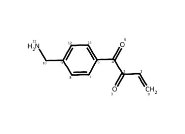 C=CC(=O)C(=O)c1ccc(CN)cc1